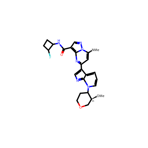 CNc1cc(-c2cnc3n(C4CCOC[C@@H]4OC)cccc2-3)nc2c(C(=O)NC3CCC3F)cnn12